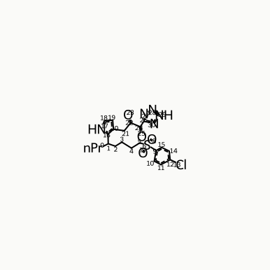 CCCC(CCCCS(=O)(=O)c1ccc(Cl)cc1)c1[nH]ccc1CC(=O)C(=O)c1nn[nH]n1